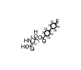 O=C(OC[C@@]1(O)CN[C@H](C(=O)O)C1)c1ccc(-c2ccc(F)cc2)cc1